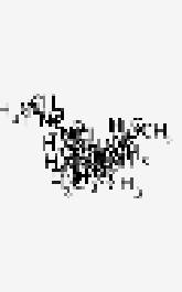 CC(C)CCC(=O)NC(C)(C)C(=O)N[C@@H](CC(C)C)C(=O)N[C@@H](CC(C)C)C(=O)NC(C)(C)C(=O)NC(C)(C)C(=O)NCCC(=O)NCCN(C)C